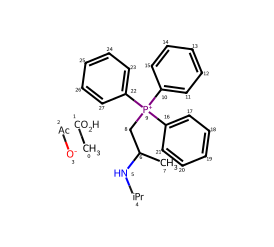 CC(=O)O.CC(=O)[O-].CC(C)NC(C)C[P+](c1ccccc1)(c1ccccc1)c1ccccc1